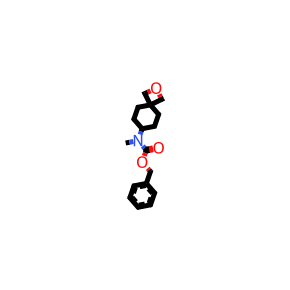 CN(C(=O)OCc1ccccc1)C1CCC2(CC1)COC2